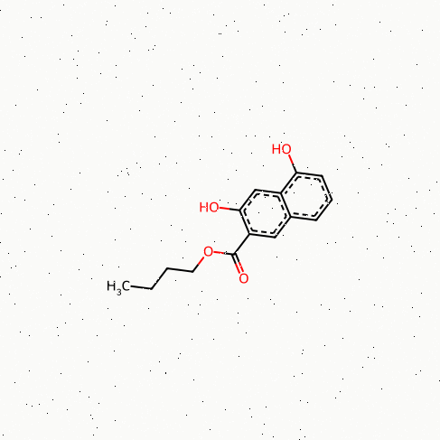 CCCCOC(=O)c1cc2cccc(O)c2cc1O